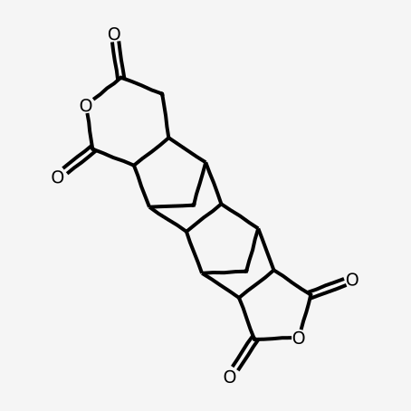 O=C1CC2C3CC(C2C(=O)O1)C1C2CC(C4C(=O)OC(=O)C24)C31